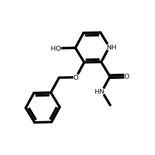 CNC(=O)C1=C(OCc2ccccc2)C(O)C=CN1